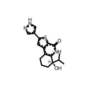 CC(C)[C@]1(O)CCCc2c1[nH]c(=O)c1sc(-c3cn[nH]c3)cc21